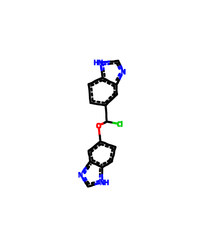 ClC(Oc1ccc2[nH]cnc2c1)c1ccc2[nH]cnc2c1